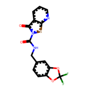 O=C(NCc1ccc2c(c1)OC(F)(F)O2)n1sc2ncccc2c1=O